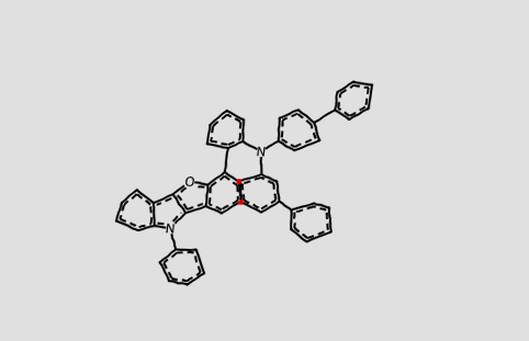 c1ccc(-c2ccc(N(c3cccc(-c4ccccc4)c3)c3ccccc3-c3cccc4c3oc3c5ccccc5n(-c5ccccc5)c43)cc2)cc1